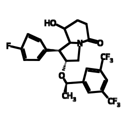 C[C@@H](O[C@H]1CN2C(=O)CCC(O)C2[C@@H]1c1ccc(F)cc1)c1cc(C(F)(F)F)cc(C(F)(F)F)c1